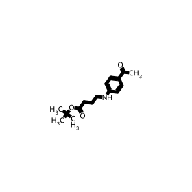 CC(=O)c1ccc(NCCCC(=O)OC(C)(C)C)cc1